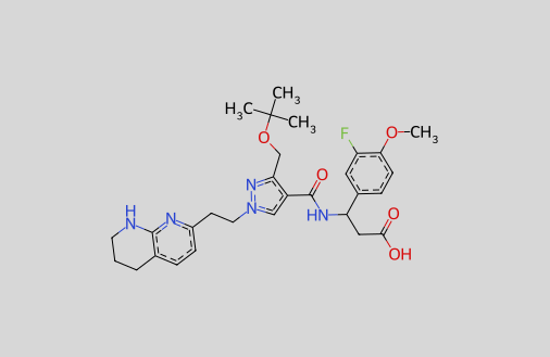 COc1ccc(C(CC(=O)O)NC(=O)c2cn(CCc3ccc4c(n3)NCCC4)nc2COC(C)(C)C)cc1F